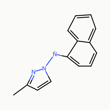 Cc1ccn([N]c2cccc3ccccc23)n1